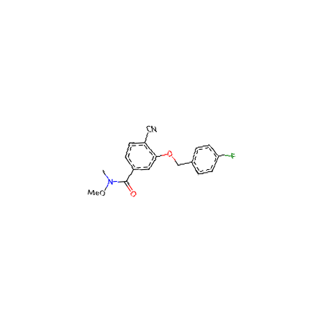 CON(C)C(=O)c1ccc(C#N)c(OCc2ccc(F)cc2)c1